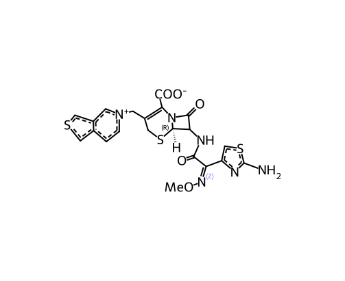 CO/N=C(\C(=O)NC1C(=O)N2C(C(=O)[O-])=C(C[n+]3ccc4cscc4c3)CS[C@H]12)c1csc(N)n1